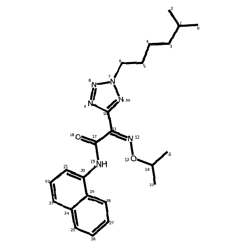 CC(C)CCCCn1nnc(C(=NOC(C)C)C(=O)Nc2cccc3ccccc23)n1